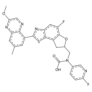 COc1cnc2c(-c3nc4cc(F)c5c(c4s3)CC(CN(C(=O)O)c3ccc(F)nc3)O5)cc(C)cc2n1